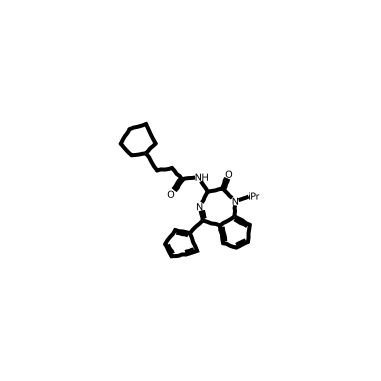 CC(C)N1C(=O)C(NC(=O)CCC2CCCCC2)N=C(c2ccccc2)c2ccccc21